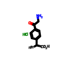 CCCC(C(=O)O)c1ccc(C(=O)CN)cc1.Cl